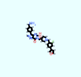 Cn1nc2c(=O)n(CC3(O)CCN(Cc4ccc(-c5ccoc5)cc4F)CC3)cnc2c1-c1ccc(CN)cc1